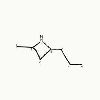 CCCC1CC(C)N1